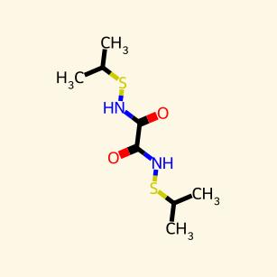 CC(C)SNC(=O)C(=O)NSC(C)C